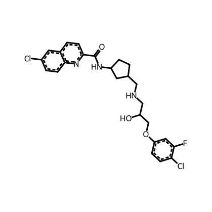 O=C(NC1CCC(CNCC(O)COc2ccc(Cl)c(F)c2)C1)c1ccc2cc(Cl)ccc2n1